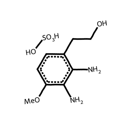 COc1ccc(CCO)c(N)c1N.O=S(=O)(O)O